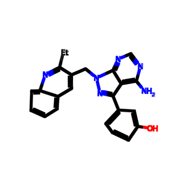 CCc1nc2ccccc2cc1Cn1nc(-c2cccc(O)c2)c2c(N)ncnc21